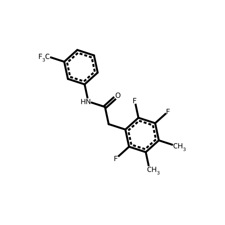 Cc1c(C)c(F)c(CC(=O)Nc2cccc(C(F)(F)F)c2)c(F)c1F